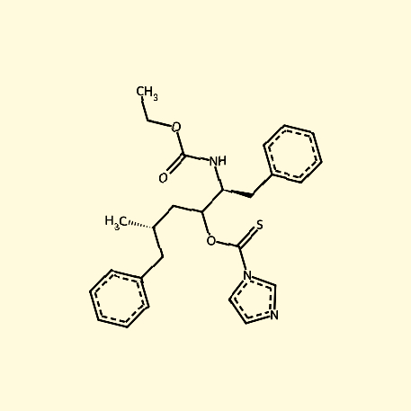 CCOC(=O)N[C@@H](Cc1ccccc1)C(C[C@@H](C)Cc1ccccc1)OC(=S)n1ccnc1